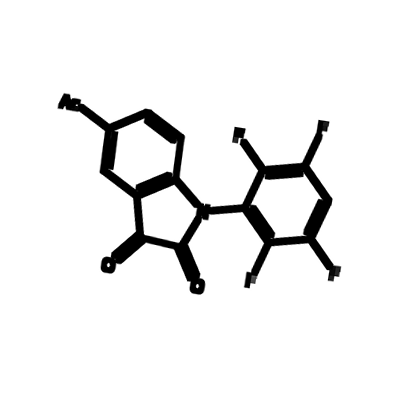 CC(=O)c1ccc2c(c1)C(=O)C(=O)N2c1c(F)c(F)cc(F)c1F